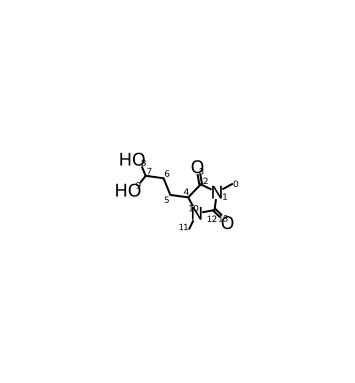 CN1C(=O)C(CCC(O)O)N(C)C1=O